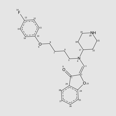 O=C1C(=CN(CCCCOc2ccc(F)cc2)C2CCNCC2)Oc2ccccc21